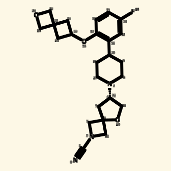 N#CN1CC2(C[C@H](N3CCC(c4cc(F)ccc4OC4CC5(COC5)C4)CC3)CO2)C1